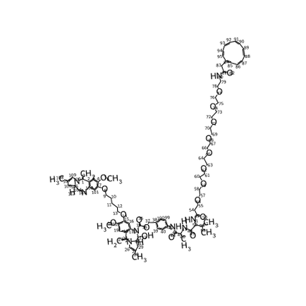 C=C1c2cc(OC)c(OCCCCCOc3cc4c(cc3OC)C(=C)N3C=C(C)C[C@H]3[C@H](O)N4C(=O)OCc3ccc(NC(=O)[C@H](C)NC(=O)[C@@H](NC(=O)CCOCCOCCOCCOCCOCCOCCOCCOCCNC(=O)CC4=C/C=C\C=C/C=C\C=C/C=C\4)C(C)C)cc3)cc2N=C[C@@H]2CC(C)=CN12